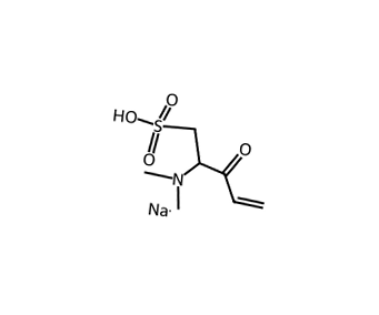 C=CC(=O)C(CS(=O)(=O)O)N(C)C.[Na]